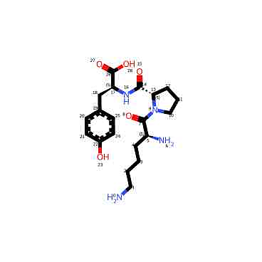 NCCCC[C@H](N)C(=O)N1CCC[C@H]1C(=O)N[C@@H](Cc1ccc(O)cc1)C(=O)O